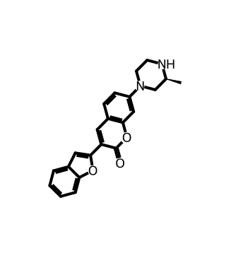 C[C@H]1CN(c2ccc3cc(-c4cc5ccccc5o4)c(=O)oc3c2)CCN1